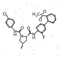 CS(=O)(=O)c1ccccc1-c1ccc(NC(=O)[C@H]2C[C@@H](F)CN2C(=O)Nc2ccc(Cl)cc2)c(F)c1